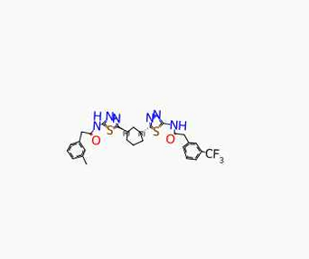 Cc1cccc(CC(=O)Nc2nnc([C@@H]3CCC[C@@H](c4nnc(NC(=O)Cc5cccc(C(F)(F)F)c5)s4)C3)s2)c1